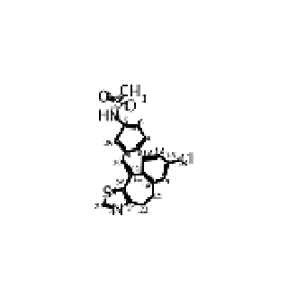 CS(=O)(=O)Nc1cccc(/C=C2\c3ccc(Cl)cc3CCc3ncsc32)c1